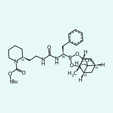 CC(C)(C)OC(=O)N1CCCC[C@H]1CCNC(=O)N[C@@H](Cc1ccccc1)B1O[C@@H]2C[C@@H]3C[C@@H](C3(C)C)[C@]2(C)O1